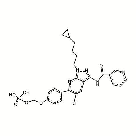 O=C(Nc1nn(CCCCC2CC2)c2nc(-c3ccc(OCOP(=O)(O)O)cc3)c(Cl)cc12)c1cccnc1